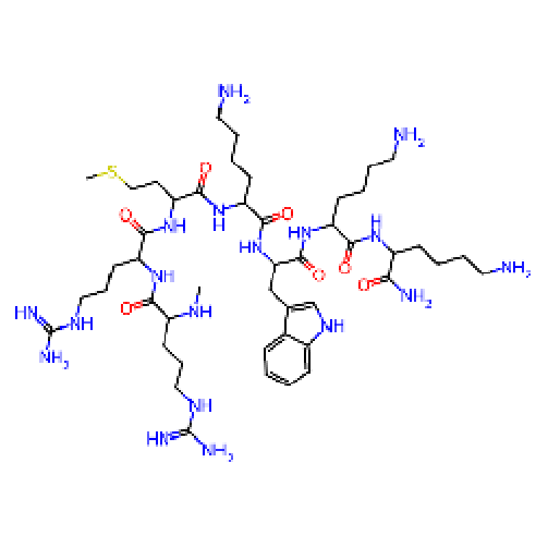 CNC(CCCNC(=N)N)C(=O)NC(CCCNC(=N)N)C(=O)NC(CCSC)C(=O)NC(CCCCN)C(=O)NC(Cc1c[nH]c2ccccc12)C(=O)NC(CCCCN)C(=O)NC(CCCCN)C(N)=O